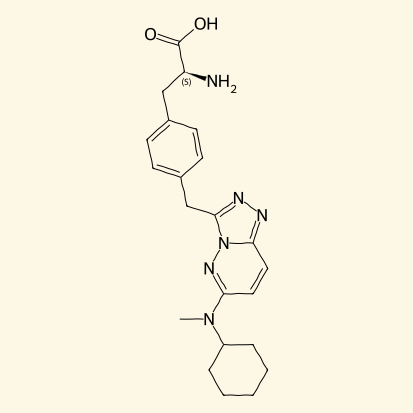 CN(c1ccc2nnc(Cc3ccc(C[C@H](N)C(=O)O)cc3)n2n1)C1CCCCC1